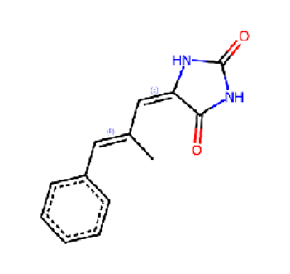 CC(=C\c1ccccc1)/C=C1/NC(=O)NC1=O